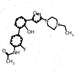 CCN1CCN(c2cc(-c3cccc(-c4ccc(NC(C)=O)c(F)c4)c3O)on2)CC1